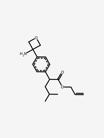 C=CCOC(=O)C(CC(C)C)c1ccc(C2(N)COC2)cc1